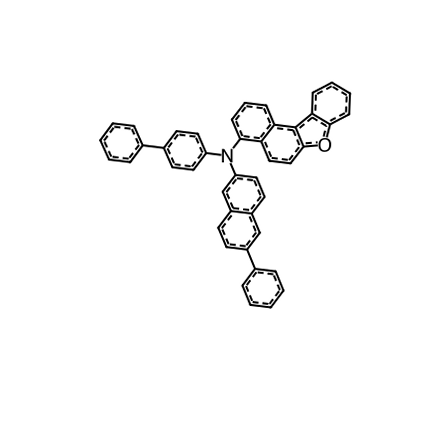 c1ccc(-c2ccc(N(c3ccc4cc(-c5ccccc5)ccc4c3)c3cccc4c3ccc3oc5ccccc5c34)cc2)cc1